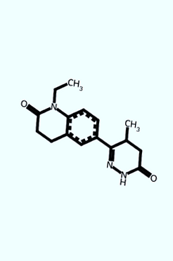 CCN1C(=O)CCc2cc(C3=NNC(=O)CC3C)ccc21